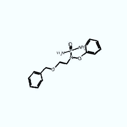 NP(N)(=O)N(CCOCc1ccccc1)Oc1ccccc1